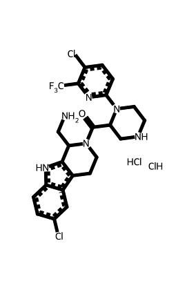 Cl.Cl.NCC1c2[nH]c3ccc(Cl)cc3c2CCN1C(=O)C1CNCCN1c1ccc(Cl)c(C(F)(F)F)n1